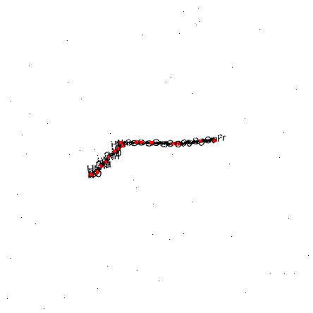 C=NOCC(=O)NCC(=O)NCC(=O)NCC(=O)NCCNC(=O)OCc1cn(CCOCCOCCOCCOCCOCCOCCOCCOCCOCCOCCOCCOCCOCCC(C)(C)CCC)nn1